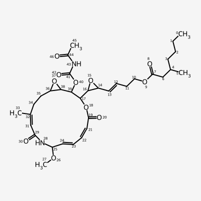 CCCCC(C)CC(=O)OCC/C=C/C1OC1C1OC(=O)/C=C\C=C\C(OC)NC(=O)/C=C(/C)CCC2OC2C1OC(=O)NC(C)=O